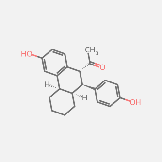 CC(=O)[C@H]1c2ccc(O)cc2[C@@H]2CCCC[C@@H]2[C@@H]1c1ccc(O)cc1